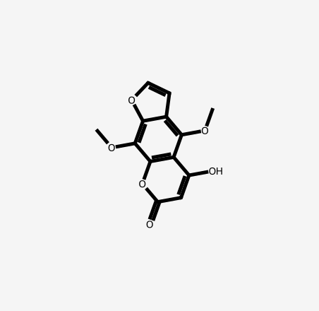 COc1c2occc2c(OC)c2c(O)cc(=O)oc12